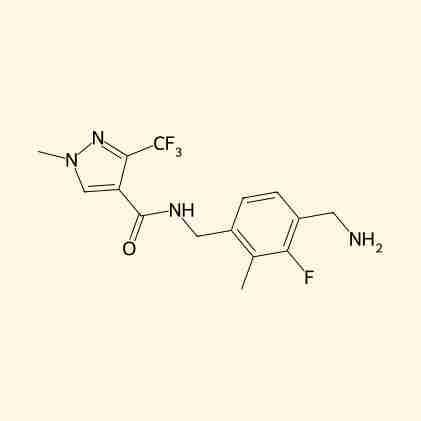 Cc1c(CNC(=O)c2cn(C)nc2C(F)(F)F)ccc(CN)c1F